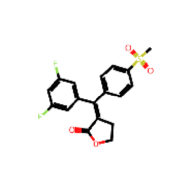 CS(=O)(=O)c1ccc(C(=C2CCOC2=O)c2cc(F)cc(F)c2)cc1